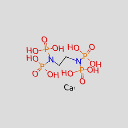 O=P(O)(O)N(CCN(P(=O)(O)O)P(=O)(O)O)P(=O)(O)O.[Ca]